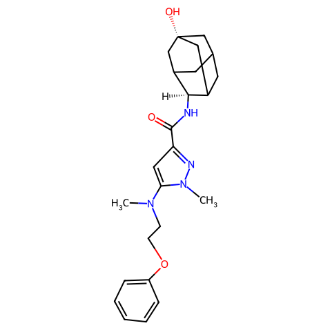 CN(CCOc1ccccc1)c1cc(C(=O)N[C@H]2C3CC4CC2C[C@](O)(C4)C3)nn1C